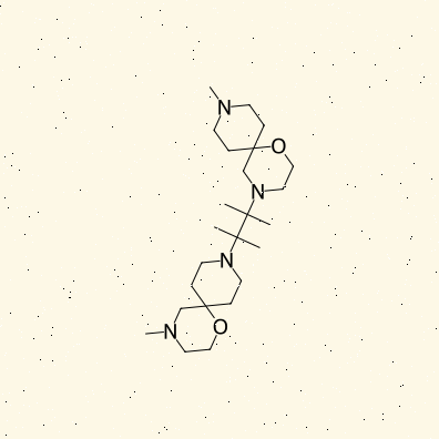 CN1CCC2(CC1)CN(C(C)(C)C(C)(C)N1CCC3(CC1)CN(C)CCO3)CCO2